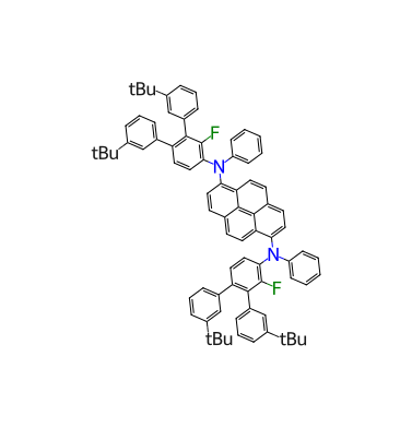 CC(C)(C)c1cccc(-c2ccc(N(c3ccccc3)c3ccc4ccc5c(N(c6ccccc6)c6ccc(-c7cccc(C(C)(C)C)c7)c(-c7cccc(C(C)(C)C)c7)c6F)ccc6ccc3c4c65)c(F)c2-c2cccc(C(C)(C)C)c2)c1